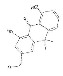 CC1(C)c2cccc(O)c2C(=O)c2c(O)cc(CCl)cc21